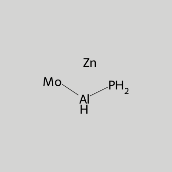 [PH2][AlH][Mo].[Zn]